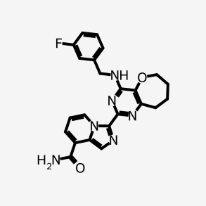 NC(=O)c1cccn2c(-c3nc4c(c(NCc5cccc(F)c5)n3)OCCCC4)ncc12